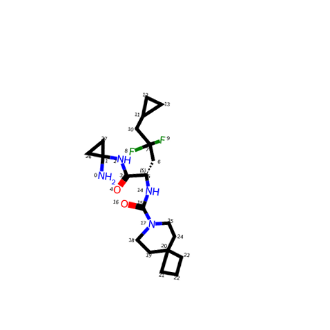 NC1(NC(=O)[C@H](CC(F)(F)CC2CC2)NC(=O)N2CCC3(CCC3)CC2)CC1